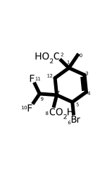 CC1(C(=O)O)C=CC(Br)C(C(=O)O)(C(F)F)C1